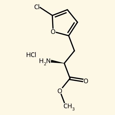 COC(=O)[C@@H](N)Cc1ccc(Cl)o1.Cl